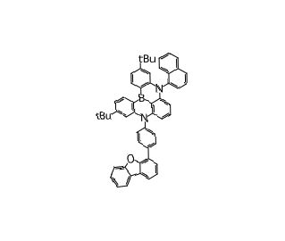 CC(C)(C)c1ccc2c(c1)N(c1ccc(-c3cccc4c3oc3ccccc34)cc1)c1cccc3c1B2c1ccc(C(C)(C)C)cc1N3c1cccc2ccccc12